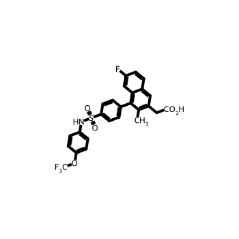 Cc1c(CC(=O)O)cc2ccc(F)cc2c1-c1ccc(S(=O)(=O)Nc2ccc(OC(F)(F)F)cc2)cc1